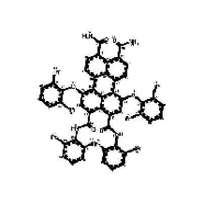 CC(C)c1cccc(C(C)C)c1NC(=O)c1cc(Oc2c(C(C)C)cccc2C(C)C)c2c3ccc(C(N)=O)c4c(C(N)=O)ccc(c5c(Oc6c(C(C)C)cccc6C(C)C)cc(C(=O)Nc6c(C(C)C)cccc6C(C)C)c1c25)c43